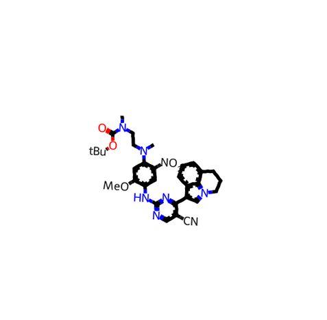 COc1cc(N(C)CCN(C)C(=O)OC(C)(C)C)c([N+](=O)[O-])cc1Nc1ncc(C#N)c(-c2cn3c4c(cccc24)CCC3)n1